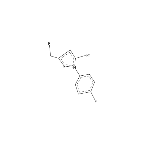 CC(C)c1cc(CF)nn1-c1ccc(F)cc1